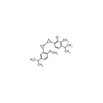 COc1ccc(C(C)C)cc1C1CC1C1CC1c1ccc(C(C)C)c(C)c1Cl